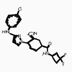 N#CC1CC(C(=O)NC2CC(F)(F)C2)CCC1n1ccc(Nc2ccc(Cl)cc2)n1